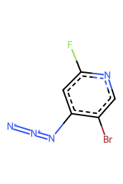 [N-]=[N+]=Nc1cc(F)ncc1Br